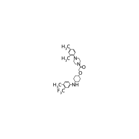 Cc1ccc(N2CCN(C(=O)COC3CCC(Nc4ccc(C)c(C(F)(F)F)c4)CC3)CC2)c(C)c1